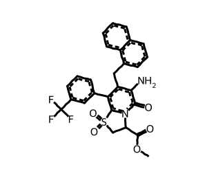 COC(=O)C1CS(=O)(=O)c2c(-c3cccc(C(F)(F)F)c3)c(Cc3cccc4ccccc34)c(N)c(=O)n21